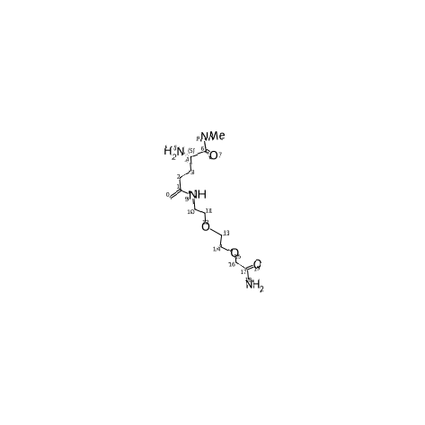 C=C(CC[C@H](N)C(=O)NC)NCCOCCOCC(N)=O